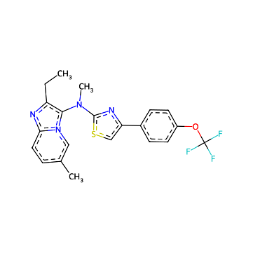 CCc1nc2ccc(C)cn2c1N(C)c1nc(-c2ccc(OC(F)(F)F)cc2)cs1